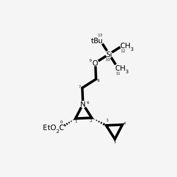 CCOC(=O)[C@H]1[C@@H](C2CC2)N1CCO[Si](C)(C)C(C)(C)C